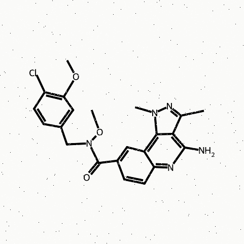 COc1cc(CN(OC)C(=O)c2ccc3nc(N)c4c(C)nn(C)c4c3c2)ccc1Cl